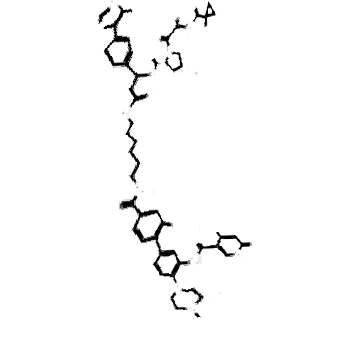 Cc1ncsc1-c1ccc(C(CC(=O)NCCCCCCNC(=O)c2ccc(-c3ccc(N4C[C@@H](C)N(C)[C@@H](C)C4)c(NC(=O)c4c[nH]c(=O)cc4C(F)(F)F)c3)c(F)c2)NC(=O)[C@@H]2C[C@@H](O)CN2C(=O)C(NC(=O)C2(F)CC2)C(C)(C)C)cc1